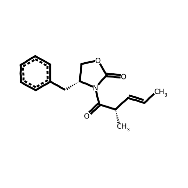 C/C=C/[C@H](C)C(=O)N1C(=O)OC[C@H]1Cc1ccccc1